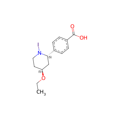 CCO[C@H]1CCN(I)[C@H](c2ccc(C(=O)O)cc2)C1